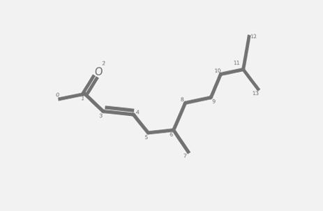 CC(=O)C=CCC(C)CCCC(C)C